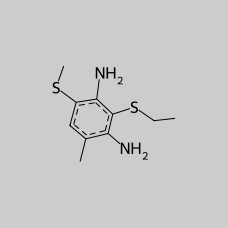 CCSc1c(N)c(C)cc(SC)c1N